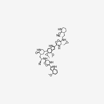 COc1cc(C2CNC(=O)[C@H](C[C@H](C#N)NC(=O)[C@H](CC3CC3)NC(=O)c3cc4c(OC)cccc4[nH]3)C2)cc2[nH]c(C(=O)N[C@@H](CC3CC3)C(=O)N[C@H](C#N)C[C@@H]3CCCNC3=O)cc12